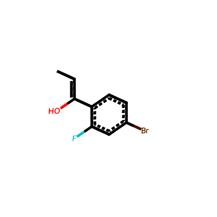 CC=C(O)c1ccc(Br)cc1F